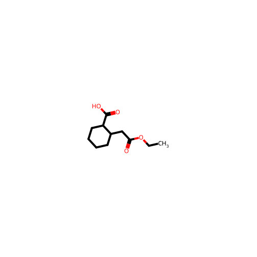 CCOC(=O)CC1CCCCC1C(=O)O